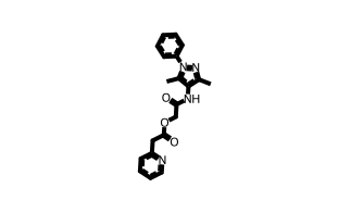 Cc1nn(-c2ccccc2)c(C)c1NC(=O)COC(=O)Cc1ccccn1